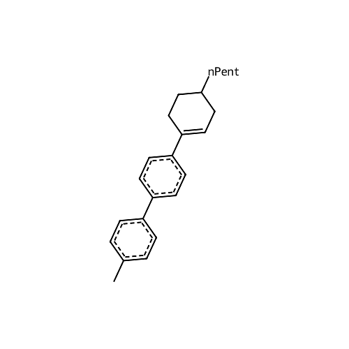 CCCCCC1CC=C(c2ccc(-c3ccc(C)cc3)cc2)CC1